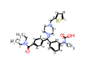 CCN(CC)C(=O)c1ccc(C(c2cccc(N(C)C(=O)O)c2)N2CCN(Cc3cccs3)CC2)cc1